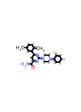 Cc1ccc(C)c(-c2cc(C(N)=O)nc(N3CCN(c4ccccc4F)CC3)n2)c1